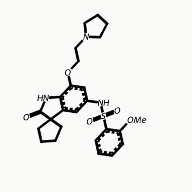 COc1ccccc1S(=O)(=O)Nc1cc(OCCN2CCCC2)c2c(c1)C1(CCCC1)C(=O)N2